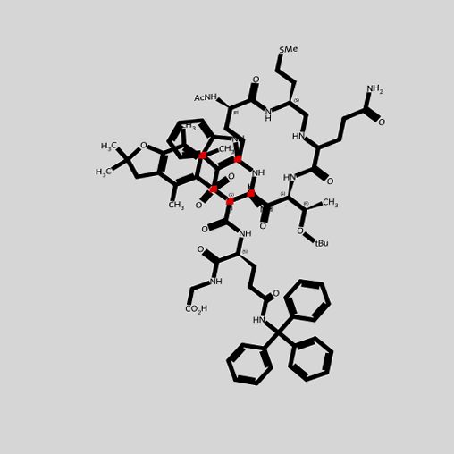 CSCC[C@@H](CNC(CCC(N)=O)C(=O)N[C@H](C(=O)N[C@@H](Cc1c[nH]c2ccccc12)C(=O)N[C@@H](CCC(=O)NC(c1ccccc1)(c1ccccc1)c1ccccc1)C(=O)NCC(=O)O)[C@@H](C)OC(C)(C)C)NC(=O)[C@@H](CCCNC(=N)NS(=O)(=O)c1c(C)c(C)c2c(c1C)CC(C)(C)O2)NC(C)=O